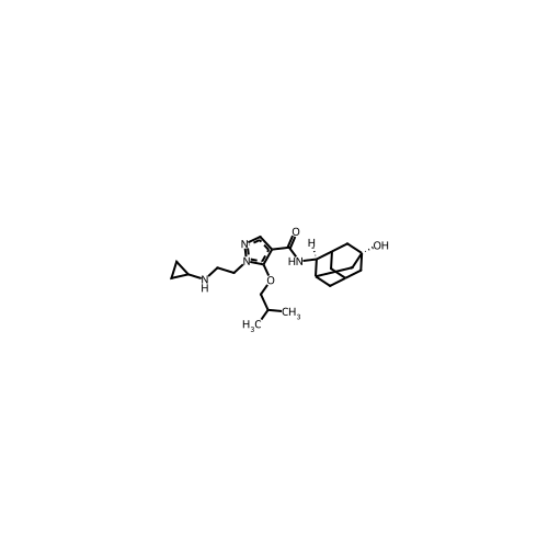 CC(C)COc1c(C(=O)N[C@H]2C3CC4CC2C[C@](O)(C4)C3)cnn1CCNC1CC1